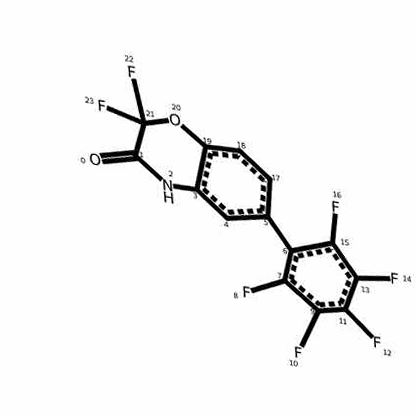 O=C1Nc2cc(-c3c(F)c(F)c(F)c(F)c3F)ccc2OC1(F)F